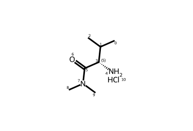 CC(C)[C@H](N)C(=O)N(C)C.Cl